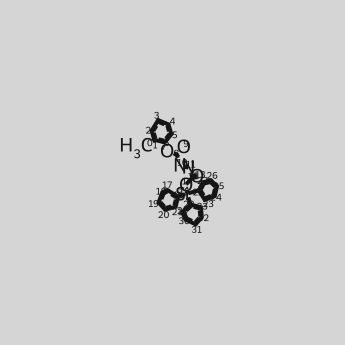 Cc1ccccc1OC(=O)N=NC(=O)O[Si](c1ccccc1)(c1ccccc1)c1ccccc1